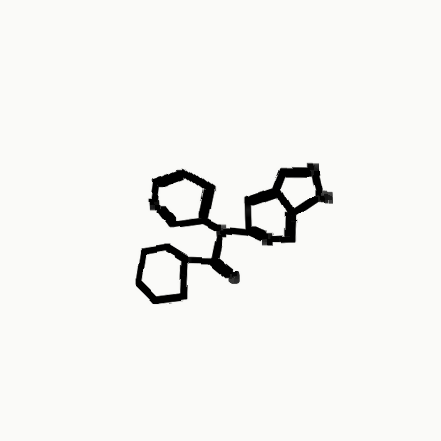 O=C(C1CCCCC1)N(c1cccnc1)c1cc2cn[nH]c2cn1